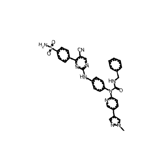 Cn1cc(-c2ccc(N(C(=O)NCc3ccccc3)c3ccc(Nc4ncc(C#N)c(-c5ccc(S(N)(=O)=O)cc5)n4)cc3)nc2)cn1